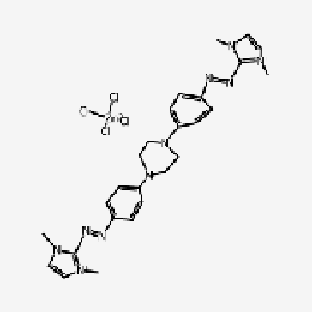 Cn1cc[n+](C)c1/N=N/c1ccc(N2CCN(c3ccc(/N=N/c4n(C)cc[n+]4C)cc3)CC2)cc1.[Cl][Zn-2]([Cl])([Cl])[Cl]